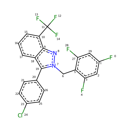 Fc1cc(F)c(Cn2nc3c(C(F)(F)F)cccc3c2-c2ccc(Cl)cc2)c(F)c1